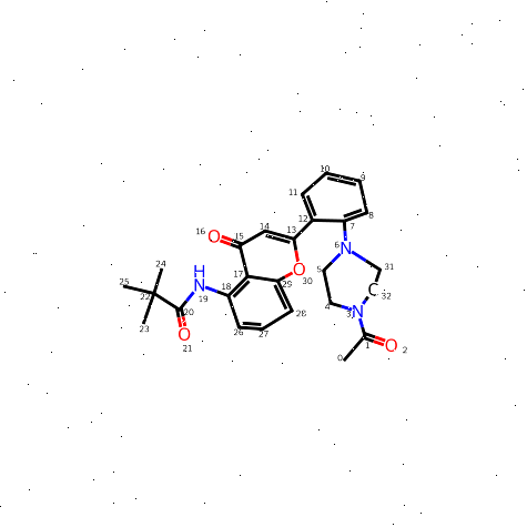 CC(=O)N1CCN(c2ccccc2-c2cc(=O)c3c(NC(=O)C(C)(C)C)cccc3o2)CC1